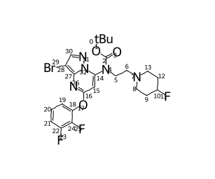 CC(C)(C)OC(=O)N(CCN1CCC(F)CC1)c1cc(Oc2cccc(F)c2F)nc2c(Br)cnn12